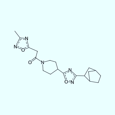 Cc1noc(CC(=O)N2CCC(c3nc(C4CC5CCC4C5)no3)CC2)n1